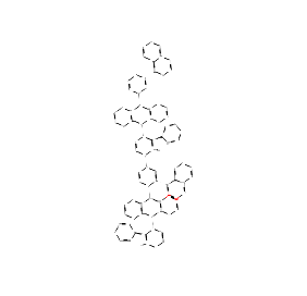 c1cc(-c2cccc3ccccc23)cc(-c2c3ccccc3c(-c3ccc(-c4ccc(-c5c6ccccc6c(-c6cccc7oc8ccccc8c67)c6ccccc56)c(-c5cccc6ccccc56)c4)c4oc5ccccc5c34)c3ccccc23)c1